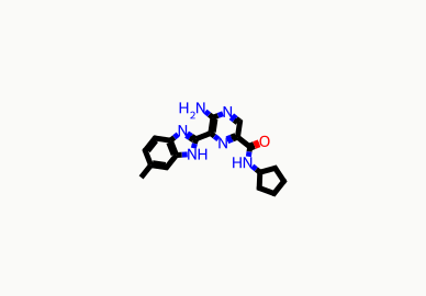 Cc1ccc2nc(-c3nc(C(=O)NC4CCCC4)cnc3N)[nH]c2c1